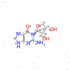 Nc1nc2[nH]cnc2c(=O)n1[C@H]1OC[C@H](O)[C@@H]1O